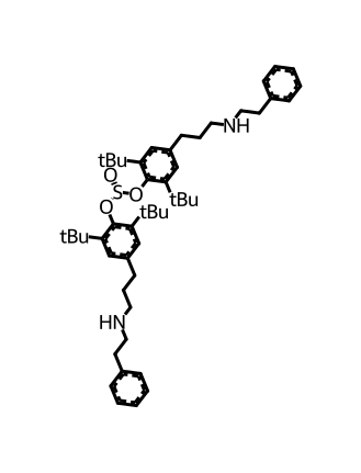 CC(C)(C)c1cc(CCCNCCc2ccccc2)cc(C(C)(C)C)c1OS(=O)Oc1c(C(C)(C)C)cc(CCCNCCc2ccccc2)cc1C(C)(C)C